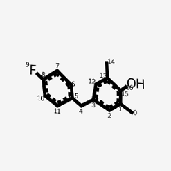 Cc1cc(Cc2ccc(F)cc2)cc(C)c1O